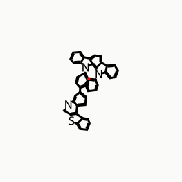 c1ccc(-n2c3ccccc3c3ccc4c5ccccc5n(-c5ccc(-c6ccc7c(c6)ncc6sc8ccccc8c67)cc5)c4c32)cc1